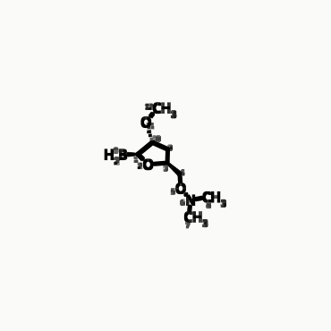 B[C@@H]1O[C@H](CON(C)C)C[C@H]1OC